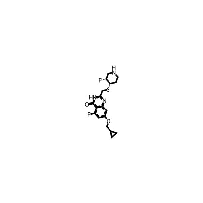 O=c1[nH]c(CS[C@H]2CCNC[C@H]2F)nc2cc(OCC3CC3)cc(F)c12